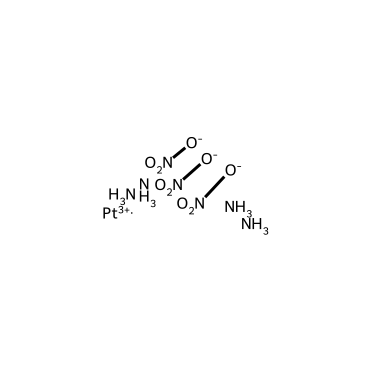 N.N.N.N.O=[N+]([O-])[O-].O=[N+]([O-])[O-].O=[N+]([O-])[O-].[Pt+3]